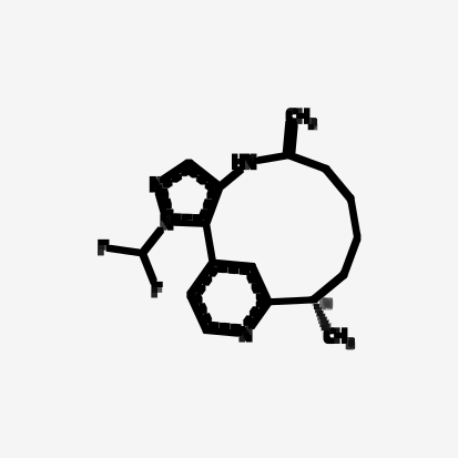 C=C1CCCC[C@H](C)c2cc(ccn2)-c2c(cnn2C(F)F)N1